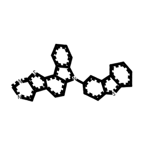 c1ccc2c(c1)sc1ccc(-n3c4ccccc4c4c5sc6ncncc6c5ccc43)cc12